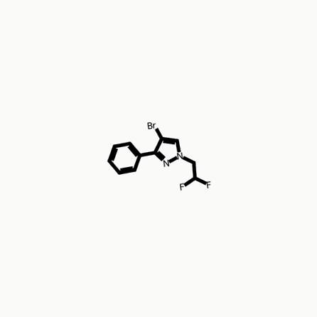 FC(F)Cn1cc(Br)c(-c2ccccc2)n1